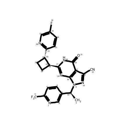 C[C@@H](c1ccc(C(F)(F)F)nc1)n1nc(C#N)c2c(=O)[nH]c([C@H]3CC[C@@H]3c3ccc(F)cn3)nc21